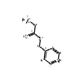 CCC(=O)SCc1ccncc1